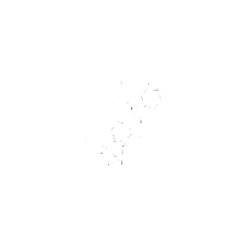 C[C@](O)(c1ccc(S(=O)(=O)c2ccccc2C2CC2)cc1)C(F)(F)F